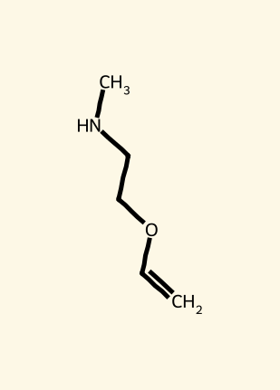 C=COCCNC